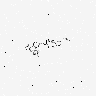 COc1ccc(C=CC(=O)NCCc2ccc(-c3ccco3)c(S(N)(=O)=O)c2)c(OC)c1